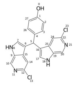 Oc1ccc(C(c2c[nH]c3cnc(Cl)cc23)c2c[nH]c3cnc(Cl)cc23)cc1